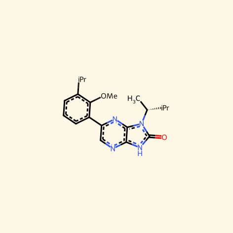 COc1c(-c2cnc3[nH]c(=O)n([C@H](C)C(C)C)c3n2)cccc1C(C)C